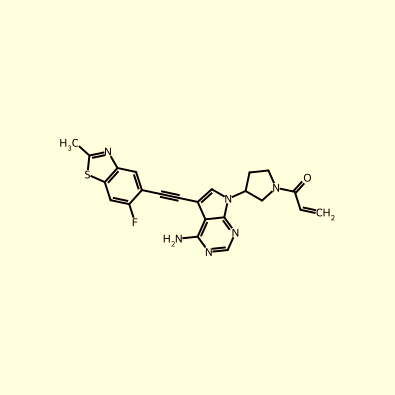 C=CC(=O)N1CCC(n2cc(C#Cc3cc4nc(C)sc4cc3F)c3c(N)ncnc32)C1